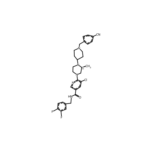 C[C@H]1CN(c2ncc(C(=O)NCc3ccc(F)c(F)c3)cc2Cl)CCN1C1CCN(Cc2ccc(C#N)cc2)CC1